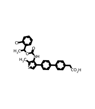 Cc1scc(-c2ccc(-c3ccc(CC(=O)O)cc3)cc2)c1NC(=O)OC(C)c1ccccc1Cl